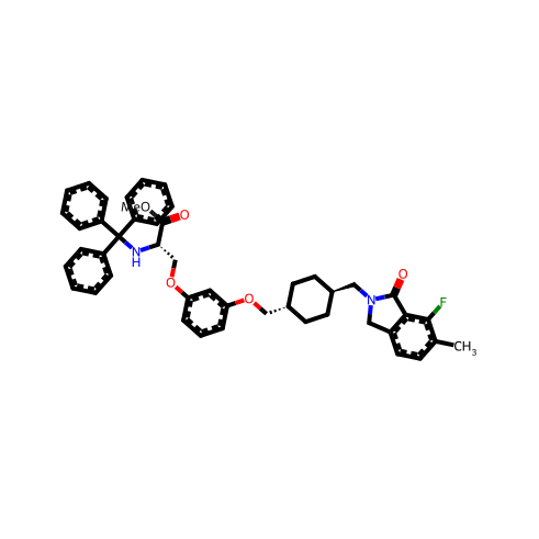 COC(=O)[C@H](COc1cccc(OC[C@H]2CC[C@H](CN3Cc4ccc(C)c(F)c4C3=O)CC2)c1)NC(c1ccccc1)(c1ccccc1)c1ccccc1